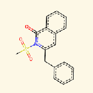 CS(=O)(=O)n1c(Cc2ccccc2)cc2ccccc2c1=O